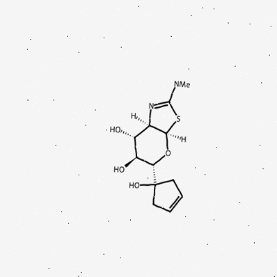 CNC1=N[C@@H]2[C@@H](O)[C@H](O)[C@@H](C3(O)CC=CC3)O[C@@H]2S1